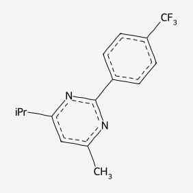 Cc1cc(C(C)C)nc(-c2ccc(C(F)(F)F)cc2)n1